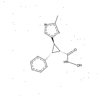 Cc1ncc([C@H]2[C@H](C(=O)NO)[C@@H]2c2ccccc2)s1